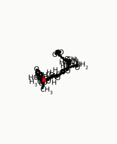 CCCC1O[C@@H]2C[C@H]3[C@@H]4CCC5=CC(=O)C=C[C@]5(C)[C@H]4[C@@H](O)C[C@]3(C)[C@]2(C(=O)COC(=O)NCC(=O)NNC(=O)OCc2ccc(NC(=O)[C@H](CCCNC(N)=O)NC(=O)C(NC(=O)CCCCCN3C(=O)C=CC3=O)C(C)C)cc2)O1